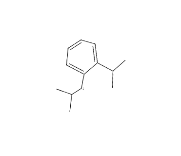 CC(C)[C]c1ccccc1C(C)C